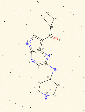 O=C(c1c[nH]c2ncc(NC3CCNCC3)nc12)C1CCC1